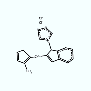 CC1=[C]([Zr+2][C]2=Cc3ccccc3C2n2cnnc2)CC=C1.[Cl-].[Cl-]